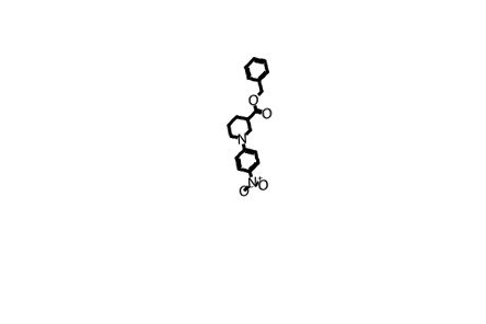 O=C(OCc1ccccc1)C1CCCN(c2ccc([N+](=O)[O-])cc2)C1